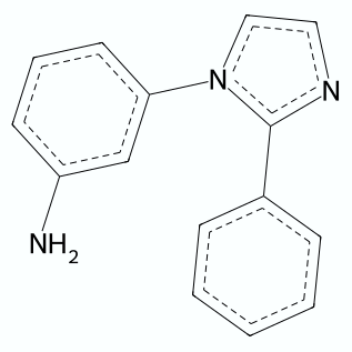 Nc1cccc(-n2ccnc2-c2ccccc2)c1